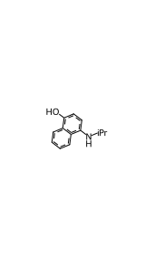 CC(C)Nc1ccc(O)c2ccccc12